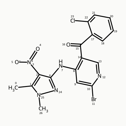 Cc1c([N+](=O)[O-])c(Nc2cc(Br)ncc2C(=O)c2ccccc2Cl)nn1C